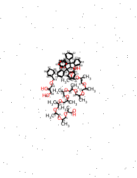 CC(CO)OCC(C)OCC(C)OCC(C)OCC(C)OCC(C)OCC(C)OCC(C)OCC(C)OCC(C)OCC(C)OCC(O)C(C(c1ccccc1)(c1ccccc1)c1ccccc1)C(c1ccccc1)(c1ccccc1)c1ccccc1.OCC(O)COCc1ccccc1